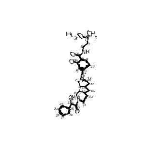 CN(C)CCNC(=O)c1ccc(N2CCC(CC3CCN(C(=O)[C@H](O)c4ccccc4)CC3)CC2)cc1Cl